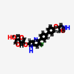 O[C@@H]1CO[C@H]2[C@@H]1OC[C@H]2Oc1cc2nc(-c3ccc(-c4ccc(OC5CNOC5)cc4)cc3)c(F)cc2[nH]1